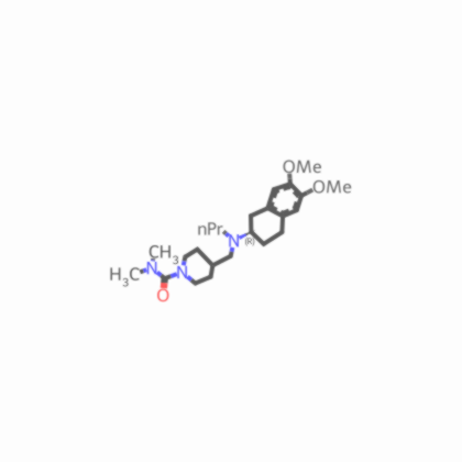 CCCN(CC1CCN(C(=O)N(C)C)CC1)[C@@H]1CCc2cc(OC)c(OC)cc2C1